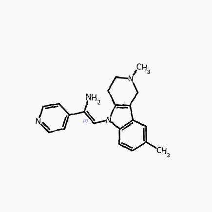 Cc1ccc2c(c1)c1c(n2/C=C(\N)c2ccncc2)CCN(C)C1